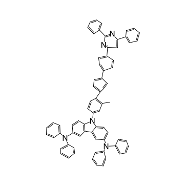 Cc1cc(-n2c3ccc(N(c4ccccc4)c4ccccc4)cc3c3cc(N(c4ccccc4)c4ccccc4)ccc32)ccc1-c1ccc(-c2ccc(-c3cc(-c4ccccc4)nc(-c4ccccc4)n3)cc2)cc1